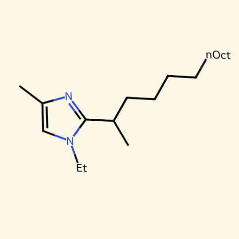 CCCCCCCCCCCCC(C)c1nc(C)cn1CC